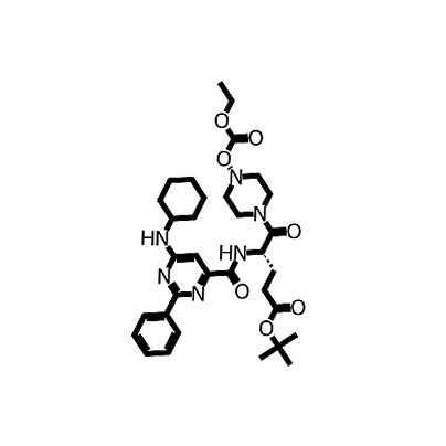 CCOC(=O)ON1CCN(C(=O)[C@H](CCC(=O)OC(C)(C)C)NC(=O)c2cc(NC3CCCCC3)nc(-c3ccccc3)n2)CC1